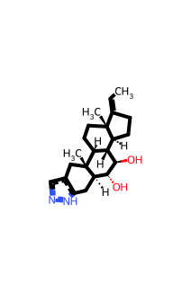 C/C=C1\CC[C@H]2[C@@H]3[C@@H](O)[C@H](O)[C@H]4Cc5[nH]ncc5C[C@]4(C)[C@H]3CC[C@]12C